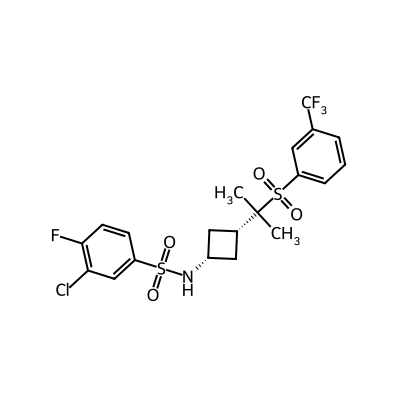 CC(C)([C@H]1C[C@@H](NS(=O)(=O)c2ccc(F)c(Cl)c2)C1)S(=O)(=O)c1cccc(C(F)(F)F)c1